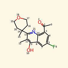 CC(=O)c1cc(F)cc2c(O)c(C)c(C3(C)CCOCC3)nc12